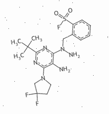 CC(C)(C)c1nc(N(N)Cc2ccccc2S(=O)(=O)F)c(N)c(N2CCC(F)(F)C2)n1